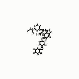 C=CC(=O)N1CCC[C@@H](NC(=N)c2c(Oc3ccc(Oc4ccccc4)cc3)ccnc2N)C1